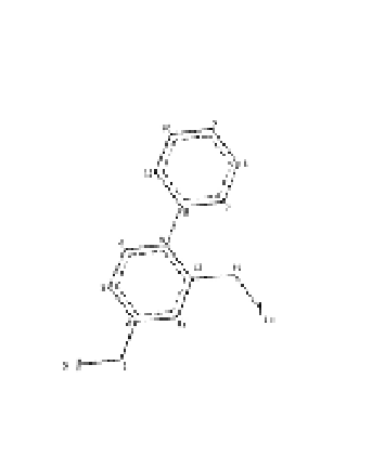 ICc1ccc(-c2ccccc2)c(CI)c1